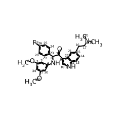 COc1cc(NC(C(=O)c2c[nH]c3ccc(CCN(C)C)cc23)c2ccc(F)cc2)cc(OC)c1